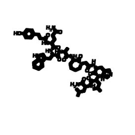 CC(C)CC(NC(=O)C(CC(C)C)NC(=O)C(Cc1cnc[nH]1)NC(=O)CN1CCCCC(NC(=O)C(C)NC(=O)C(Cc2c[nH]c3ccccc23)NC(=O)C(CCC(N)=O)NC(=O)CCc2ccc(O)cc2)C1=O)C(N)=O